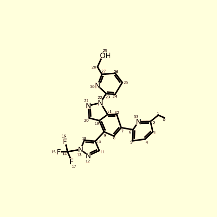 CCc1cccc(-c2cc(-c3cnn(C(F)(F)F)c3)c3cnn(-c4cccc(CO)n4)c3c2)n1